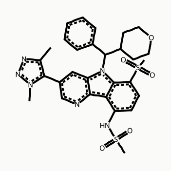 Cc1nnn(C)c1-c1cnc2c3c(NS(C)(=O)=O)ccc(S(C)(=O)=O)c3n(C(c3ccccc3)C3CCOCC3)c2c1